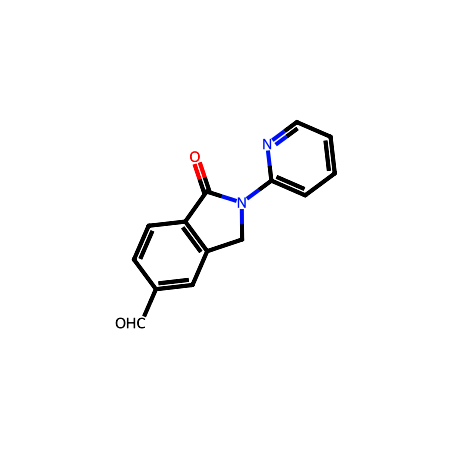 O=Cc1ccc2c(c1)CN(c1ccccn1)C2=O